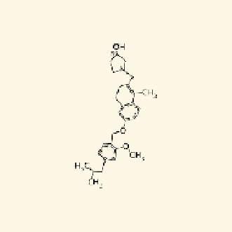 COc1cc(CC(C)C)ccc1COc1ccc2c(c1)CCC(CN1CC[C@@H](O)C1)=C2C